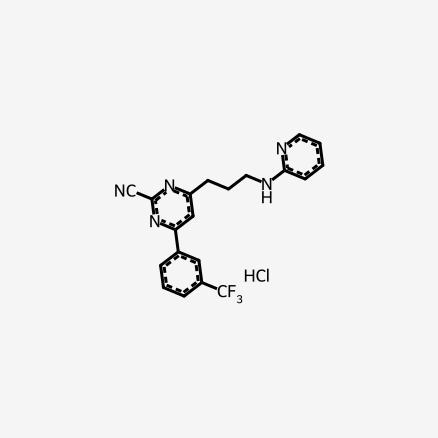 Cl.N#Cc1nc(CCCNc2ccccn2)cc(-c2cccc(C(F)(F)F)c2)n1